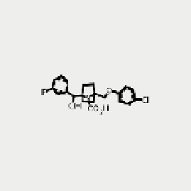 O=C(O)N1C2(COc3ccc(Cl)cc3)CCC1(C(O)c1cccc(F)c1)CC2